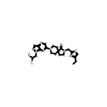 CCc1csc(CN2CCC3(CCN(c4cnc5cnn(CC(F)F)c5n4)CC3)C2=O)n1